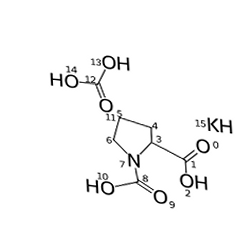 O=C(O)C1CCCN1C(=O)O.O=C(O)O.[KH]